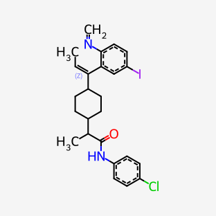 C=Nc1ccc(I)cc1/C(=C\C)C1CCC(C(C)C(=O)Nc2ccc(Cl)cc2)CC1